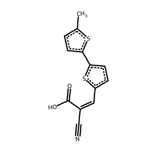 Cc1ccc(-c2ccc(C=C(C#N)C(=O)O)s2)s1